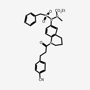 CCOC(=O)N(C)N(c1ccc2c(c1)CCCN2C(=O)CCc1ccc(C#N)cc1)S(=O)(=O)Cc1ccccc1